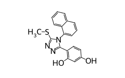 CSc1nnc(-c2ccc(O)cc2O)n1-c1cccc2ccccc12